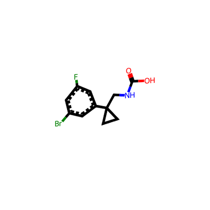 O=C(O)NCC1(c2cc(F)cc(Br)c2)CC1